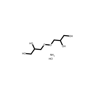 Cl.N.OCC(O)COOCC(O)CO